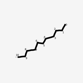 [CH2]CCC[CH]CCCCC[CH2]